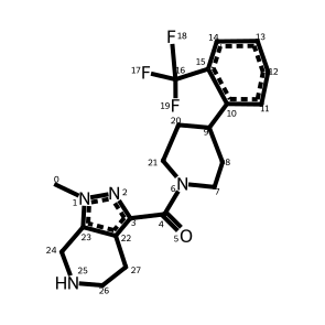 Cn1nc(C(=O)N2CCC(c3ccccc3C(F)(F)F)CC2)c2c1CNCC2